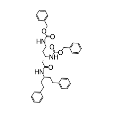 O=C(C[C@H](CCNC(=O)OCc1ccccc1)NC(=O)OCc1ccccc1)NC(CCc1ccccc1)CCc1ccccc1